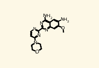 COc1cc2nc(-c3nccc(N4CCOCC4)n3)nc(N)c2cc1N